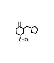 O=CN1CCNC(CN2CCCC2)C1